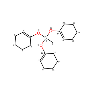 C[Si](OC1=CCCCC1)(OC1=CCCCC1)OC1=CCCCC1